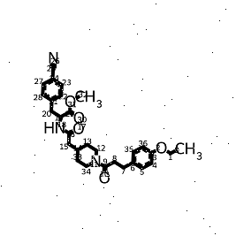 CCOc1ccc(CCC(=O)N2CCC(CC(=O)NC(Cc3ccc(C#N)cc3)C(=O)OC)CC2)cc1